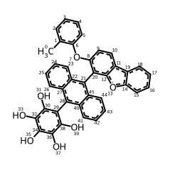 Cc1ccccc1Oc1ccc2c(oc3ccccc32)c1-c1c2ccccc2c(-c2c(O)c(O)c(O)c(O)c2O)c2ccccc12